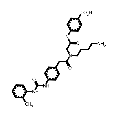 Cc1ccccc1NC(=O)Nc1ccc(CC(=O)N(CCCCN)CC(=O)Nc2ccc(C(=O)O)cc2)cc1